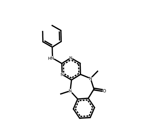 C/C=C\C(=C/C)Nc1ncc2c(n1)N(C)c1ccccc1C(=O)N2C